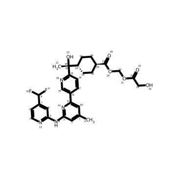 Cc1cc(Nc2cc(C(F)F)ccn2)nc(-c2ccc([C@](C)(O)[C@H]3CC[C@H](C(=O)OCOC(=O)CO)CC3)nc2)c1